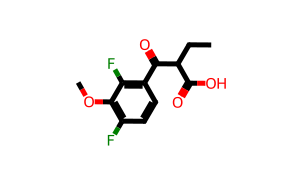 CCC(C(=O)O)C(=O)c1ccc(F)c(OC)c1F